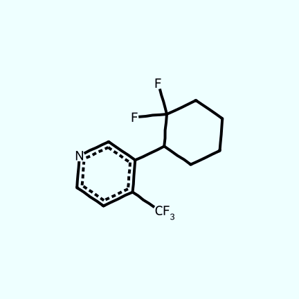 FC(F)(F)c1ccncc1C1CCCCC1(F)F